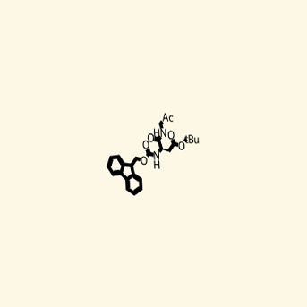 CC(=O)CNC(=O)[C@@H](CC(=O)OC(C)(C)C)NC(=O)OCC1c2ccccc2-c2ccccc21